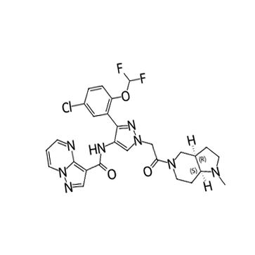 CN1CC[C@@H]2CN(C(=O)Cn3cc(NC(=O)c4cnn5cccnc45)c(-c4cc(Cl)ccc4OC(F)F)n3)CC[C@@H]21